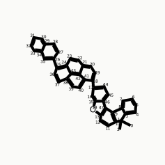 CC1(C)c2ccccc2-c2c1ccc1oc3cc(-c4ccc5ccc6c(-c7ccc8ccccc8c7)ccc7ccc4c5c76)ccc3c21